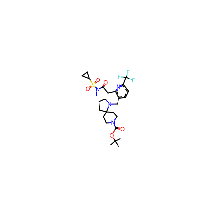 CC(C)(C)OC(=O)N1CCC2(CCCN2Cc2ccc(C(F)(F)F)nc2CC(=O)NS(=O)(=O)C2CC2)CC1